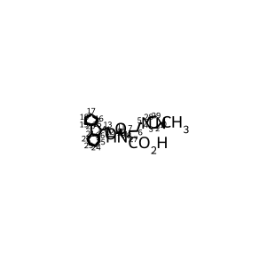 CN1CCN(CCCC(NC(=O)OCC2c3ccccc3-c3ccccc32)C(=O)O)CC1